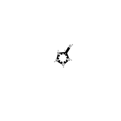 O=c1nnoo1